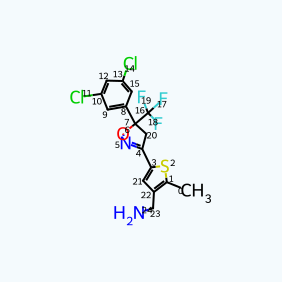 Cc1sc(C2=NOC(c3cc(Cl)cc(Cl)c3)(C(F)(F)F)C2)cc1CN